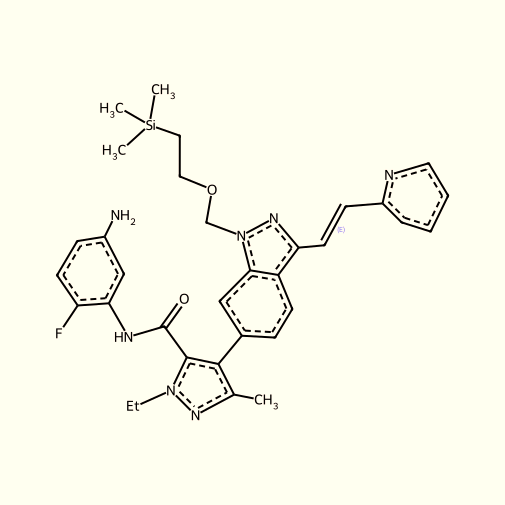 CCn1nc(C)c(-c2ccc3c(/C=C/c4ccccn4)nn(COCC[Si](C)(C)C)c3c2)c1C(=O)Nc1cc(N)ccc1F